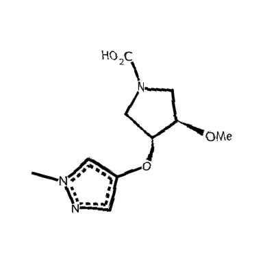 CO[C@@H]1CN(C(=O)O)C[C@@H]1Oc1cnn(C)c1